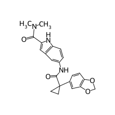 CN(C)C(=O)c1cc2cc(NC(=O)C3(c4ccc5c(c4)OCO5)CC3)ccc2[nH]1